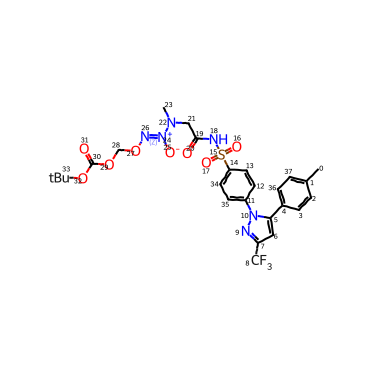 Cc1ccc(-c2cc(C(F)(F)F)nn2-c2ccc(S(=O)(=O)NC(=O)CN(C)/[N+]([O-])=N/OCOC(=O)OC(C)(C)C)cc2)cc1